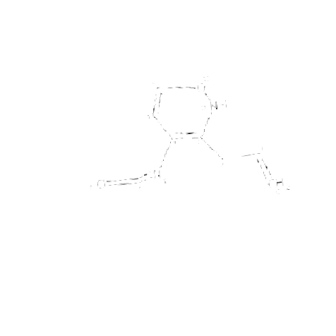 C=CCC1=C(N=C=O)C=CON1